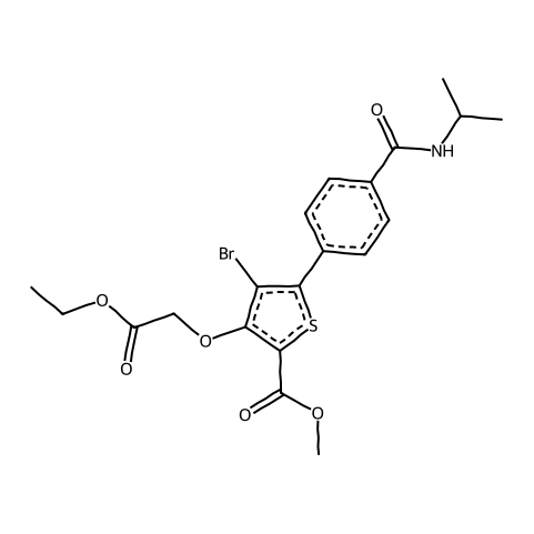 CCOC(=O)COc1c(C(=O)OC)sc(-c2ccc(C(=O)NC(C)C)cc2)c1Br